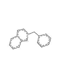 [c]1c(Cc2ccccc2)ccc2ccccc12